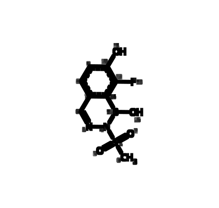 CS(=O)(=O)N1N=Cc2ccc(O)c(F)c2B1O